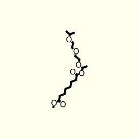 COC(=O)CCCCCCC(=O)OC(C)OCCOCCOC(C)C